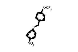 O=[N+]([O-])c1ccc(SCc2ccc(SC(F)(F)F)cc2)cc1